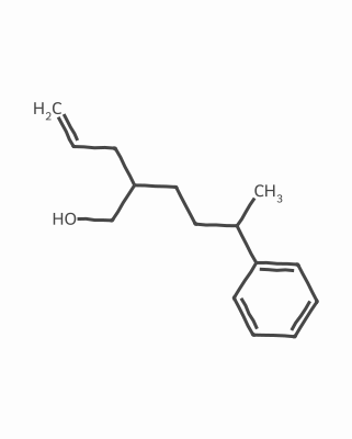 C=CCC(CO)CCC(C)c1ccccc1